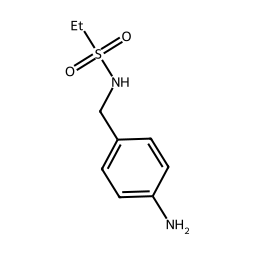 CCS(=O)(=O)NCc1ccc(N)cc1